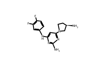 Nc1nc(Nc2ccc(F)c(F)c2)cc(N2CC[C@@H](N)C2)n1